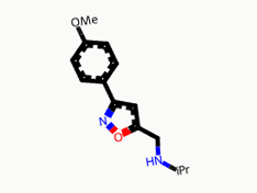 COc1ccc(-c2cc(CNC(C)C)on2)cc1